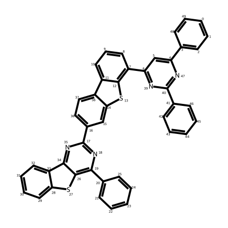 c1ccc(-c2cc(-c3cccc4c3sc3cc(-c5nc(-c6ccccc6)c6sc7ccccc7c6n5)ccc34)nc(-c3ccccc3)n2)cc1